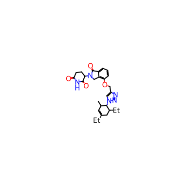 CCC1=CC(C)C(n2cc(COc3cccc4c3CN(C3CCC(=O)NC3=O)C4=O)nn2)C(CC)C1